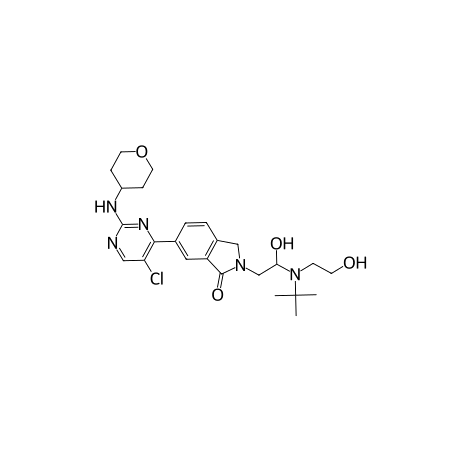 CC(C)(C)N(CCO)C(O)CN1Cc2ccc(-c3nc(NC4CCOCC4)ncc3Cl)cc2C1=O